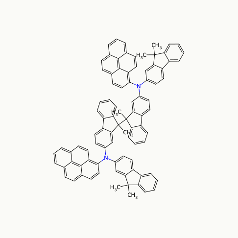 CC1(C)c2ccccc2-c2ccc(N(c3ccc4c(c3)C(C)(C3(C)c5ccccc5-c5ccc(N(c6ccc7c(c6)C(C)(C)c6ccccc6-7)c6ccc7ccc8cccc9ccc6c7c89)cc53)c3ccccc3-4)c3ccc4ccc5cccc6ccc3c4c56)cc21